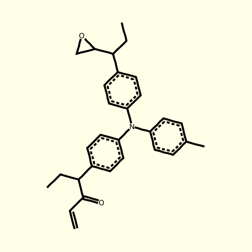 C=CC(=O)C(CC)c1ccc(N(c2ccc(C)cc2)c2ccc(C(CC)C3CO3)cc2)cc1